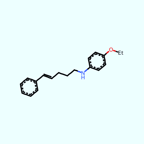 CCOc1ccc(NCCCC=Cc2ccccc2)cc1